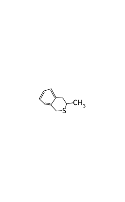 CC1Cc2ccccc2CS1